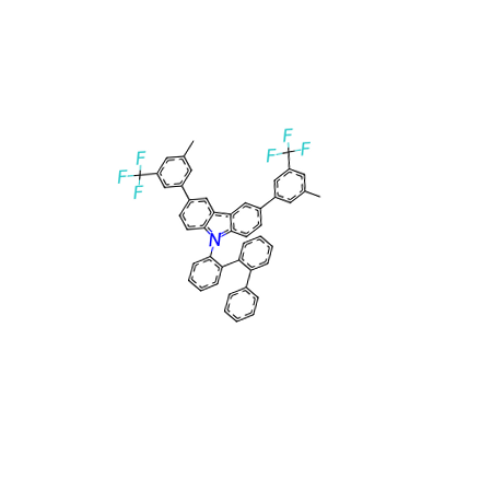 Cc1cc(-c2ccc3c(c2)c2cc(-c4cc(C)cc(C(F)(F)F)c4)ccc2n3-c2ccccc2-c2ccccc2-c2ccccc2)cc(C(F)(F)F)c1